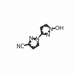 N#Cc1ccn(-c2ccn(O)n2)n1